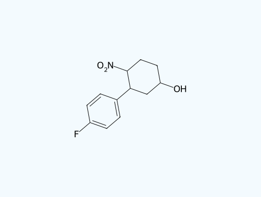 O=[N+]([O-])C1CCC(O)CC1c1ccc(F)cc1